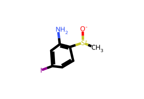 C[S+]([O-])c1ccc(I)cc1N